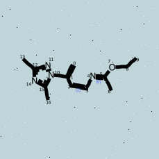 C=C(/C=C\N=C(/C)OCC)n1nc(C)nc1C